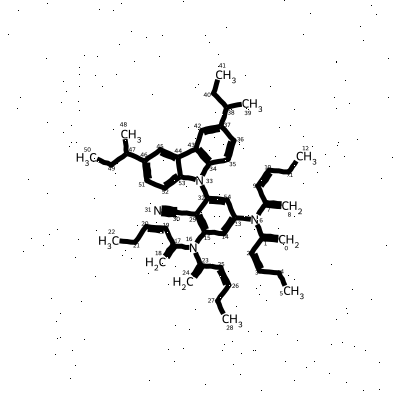 C=C(/C=C\CC)N(C(=C)/C=C\CC)c1cc(N(C(=C)/C=C\CC)C(=C)/C=C\CC)c(C#N)c(-n2c3ccc(C(C)CC)cc3c3cc(C(C)CC)ccc32)c1